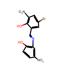 O=[N+]([O-])c1ccc(O)c(/N=C/c2cc(Br)cc([N+](=O)[O-])c2O)c1